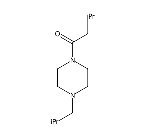 CC(C)CC(=O)N1CCN(CC(C)C)CC1